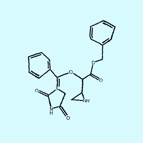 O=C1CS(=C(OC(C(=O)OCc2ccccc2)C2CN2)c2ccccc2)C(=O)N1